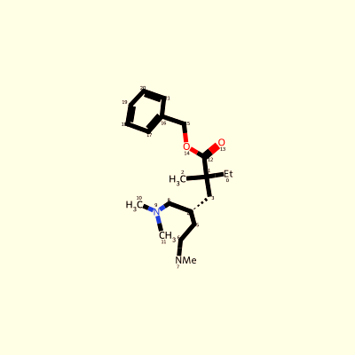 CCC(C)(C[C@H](CCNC)CN(C)C)C(=O)OCc1ccccc1